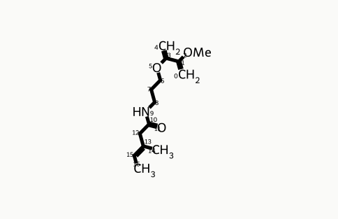 C=C(OC)C(=C)OCCCNC(=O)C/C(C)=C/C